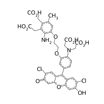 Cc1cc(OCCOc2cc(-c3c4cc(Cl)c(=O)cc-4oc4cc(O)c(Cl)cc34)ccc2N(CC(=O)O)CC(=O)O)c(N)c(CC(=O)O)c1CC(=O)O